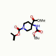 C=C(C)OC(=O)N1CCC(NC(=O)OC(C)(C)C)(C(=O)OC)CC1